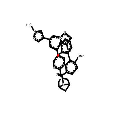 COc1ccc(C(=O)N2C3CC2CN(c2ccc(-c4cc(-c5cnn(C)c5)cn5ncc(C#N)c45)cn2)C3)cc1-c1ccccc1F